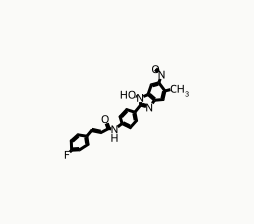 Cc1cc2nc(-c3ccc(NC(=O)/C=C/c4ccc(F)cc4)cc3)n(O)c2cc1N=O